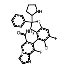 NC(=O)c1cn2ccnc2c(F)c1-c1c(Cl)c(F)cc2c1CC(c1ccccc1)(C1CCCN1)O2